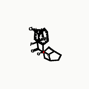 O=C(c1cnn[nH]1)N1CC2CCC(C1)N2[S+]([O-])c1cccc(Cl)c1F